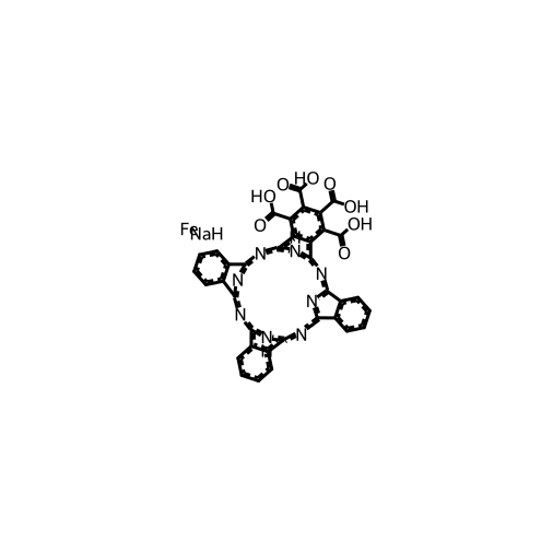 O=C(O)c1c(C(=O)O)c(C(=O)O)c2c3nc4nc(nc5[nH]c(nc6nc(nc([nH]3)c2c1C(=O)O)-c1ccccc1-6)c1ccccc51)-c1ccccc1-4.[Fe].[NaH]